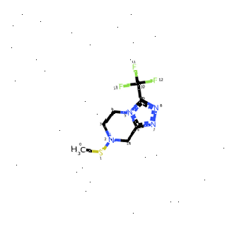 CSN1CCn2c(nnc2C(F)(F)F)C1